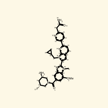 COc1cc(C(=O)N2C[C@H](N)C[C@@H](F)C2)cc2nc(-c3cc4ccc(-c5ccc(CC(N)=O)nc5)nc4n3CC3CC3)n(C)c12